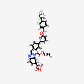 COCCn1c(Cc2cc(F)c(-c3cccc(OCc4ccc(C(C)(F)F)cc4)n3)cc2F)nc2ccc(C(=O)O)cc21